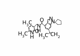 C=C(C)c1cc(C(=O)NCc2c(C)cc(C)[nH]c2=O)c2cnn(C3CCCC3)c2c1